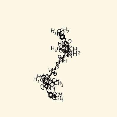 CC(C)(C)OC(=O)N[C@@H](Cc1ccc2c(c1)OC(C)(C)O2)C(=O)OCC(C)(C)[C@@H](O)C(=O)NCCC(=O)NCCSSCCNC(=O)CCNC(=O)[C@H](O)C(C)(C)COC(=O)[C@H](Cc1ccc2c(c1)OC(C)(C)O2)NC(=O)OC(C)(C)C